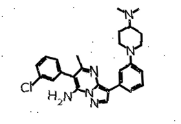 Cc1nc2c(-c3cccc(N4CCC(N(C)C)CC4)c3)cnn2c(N)c1-c1cccc(Cl)c1